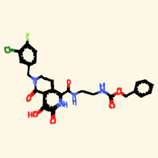 O=C(NCCNC(=O)c1[nH]c(=O)c(O)c2c1CCN(Cc1ccc(F)c(Cl)c1)C2=O)OCc1ccccc1